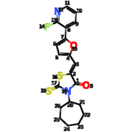 O=C1C(=Cc2ccc(-c3cccnc3F)o2)SC(=S)N1C1CCCCCC1